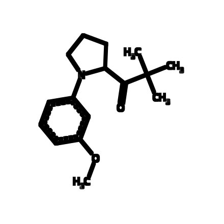 COc1cccc(N2CCCC2C(=O)C(C)(C)C)c1